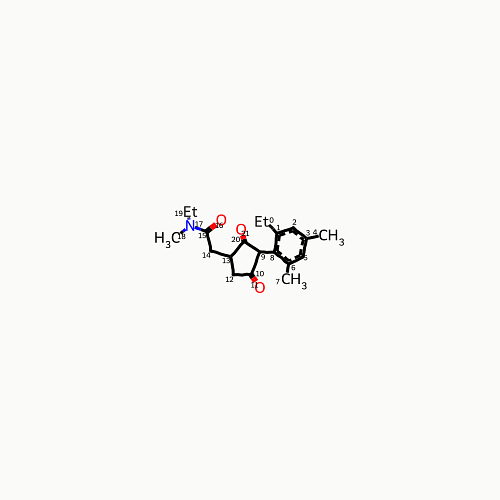 CCc1cc(C)cc(C)c1C1C(=O)CC(CC(=O)N(C)CC)C1=O